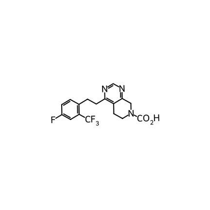 O=C(O)N1CCc2c(CCc3ccc(F)cc3C(F)(F)F)ncnc2C1